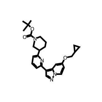 CC(C)(C)OC(=O)N1CCCC(c2cccc(-c3cnn4ccc(OCC5CC5)cc34)n2)C1